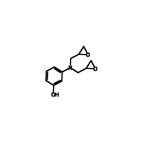 Oc1cccc(N(CC2CO2)CC2CO2)c1